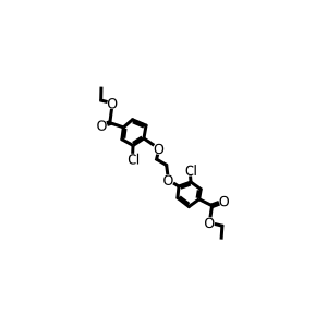 CCOC(=O)c1ccc(OCCOc2ccc(C(=O)OCC)cc2Cl)c(Cl)c1